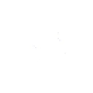 Cc1c(Cl)c([N+](=O)[O-])c2c(c1Br)NC(=O)CC2